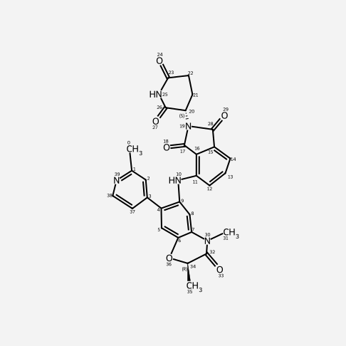 Cc1cc(-c2cc3c(cc2Nc2cccc4c2C(=O)N([C@H]2CCC(=O)NC2=O)C4=O)N(C)C(=O)[C@@H](C)O3)ccn1